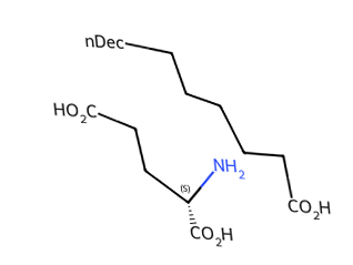 CCCCCCCCCCCCCCCC(=O)O.N[C@@H](CCC(=O)O)C(=O)O